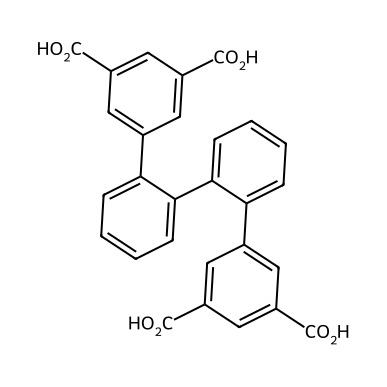 O=C(O)c1cc(C(=O)O)cc(-c2ccccc2-c2ccccc2-c2cc(C(=O)O)cc(C(=O)O)c2)c1